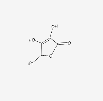 CC(C)C1OC(=O)C(O)=C1O